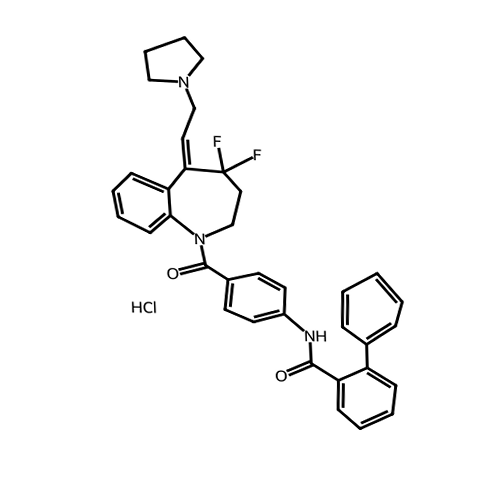 Cl.O=C(Nc1ccc(C(=O)N2CCC(F)(F)C(=CCN3CCCC3)c3ccccc32)cc1)c1ccccc1-c1ccccc1